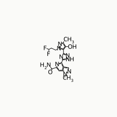 Cc1nn(CCC(F)F)c(-c2n[nH]c(-c3nc(C(N)=O)cc4c3cnn4C)n2)c1O